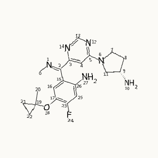 C/N=C(/c1cc(N2CC[C@H](N)C2)ncn1)c1cc(OC2(C)CC2)c(F)cc1N